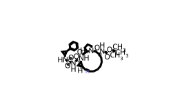 CC(C)(C)OC(=O)N[C@H]1CCCCC/C=C\[C@@H]2C[C@@]2(C(=O)NS(=O)(=O)NC2CC2c2ccccc2)NC(=O)[C@@H]2CCCN2C1=O